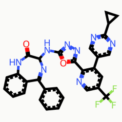 O=C1Nc2ccccc2C(c2ccccc2)=NC1Nc1nnc(-c2ncc(C(F)(F)F)cc2-c2cnc(C3CC3)nc2)o1